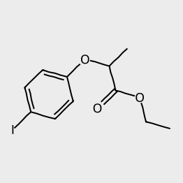 CCOC(=O)C(C)Oc1ccc(I)cc1